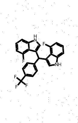 Fc1cccc2[nH]cc(C(c3ccc(C(F)(F)F)cc3)c3c[nH]c4cccc(F)c34)c12